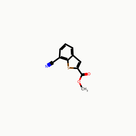 COC(=O)c1cc2cccc(C#N)c2s1